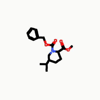 COC(=O)C1CCC(C(C)C)CN1C(=O)OCc1ccccc1